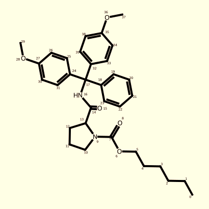 CCCCCCOC(=O)N1CCCC1C(=O)NC(c1ccccc1)(c1ccc(OC)cc1)c1ccc(OC)cc1